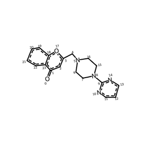 O=c1cc(CN2CCN(c3ncccn3)CC2)oc2ccccc12